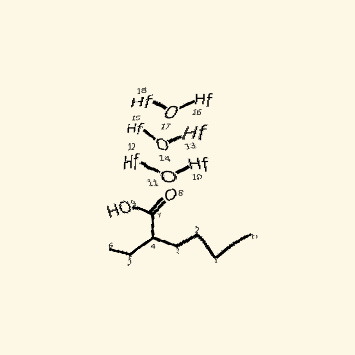 CCCCC(CC)C(=O)O.[Hf][O][Hf].[Hf][O][Hf].[Hf][O][Hf]